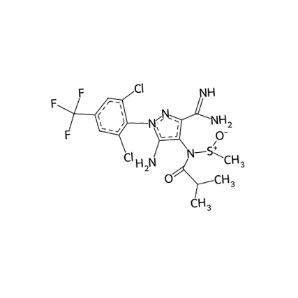 CC(C)C(=O)N(c1c(C(=N)N)nn(-c2c(Cl)cc(C(F)(F)F)cc2Cl)c1N)[S+](C)[O-]